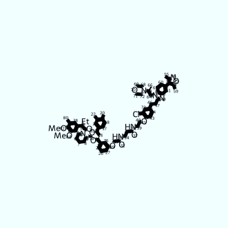 CC[C@H](C(=O)N1CCCC[C@H]1C(=O)O[C@H](CCc1ccc(C)c(C)c1)c1cccc(OCC(=O)NCCC(=O)NCCOc2ccc(CCc3nc4cc(-c5c(C)noc5C)ccc4n3C[C@H](C)N3CCOCC3)cc2Cl)c1)c1cc(C)c(OC)c(OC)c1